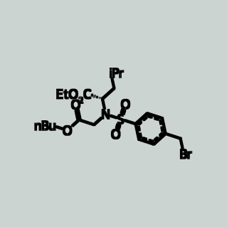 CCCCOC(=O)CN([C@@H](CC(C)C)C(=O)OCC)S(=O)(=O)c1ccc(CBr)cc1